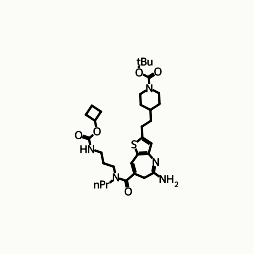 CCCN(CCCNC(=O)OC1CCC1)C(=O)C1=Cc2sc(CCC3CCN(C(=O)OC(C)(C)C)CC3)cc2N=C(N)C1